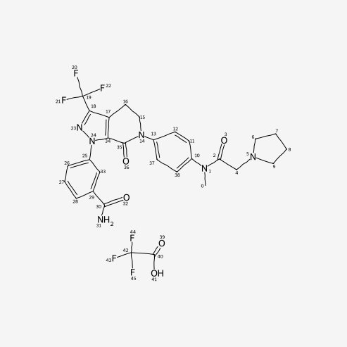 CN(C(=O)CN1CCCC1)c1ccc(N2CCc3c(C(F)(F)F)nn(-c4cccc(C(N)=O)c4)c3C2=O)cc1.O=C(O)C(F)(F)F